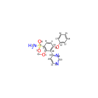 COc1c(S(N)(=O)=O)ccc(Oc2ccccc2)c1-c1ccncn1